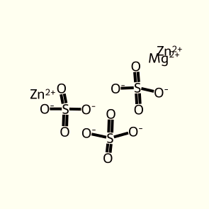 O=S(=O)([O-])[O-].O=S(=O)([O-])[O-].O=S(=O)([O-])[O-].[Mg+2].[Zn+2].[Zn+2]